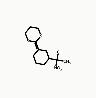 CC(C)(C1CCCC(=C2SCCCS2)C1)[N+](=O)[O-]